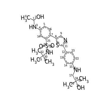 CC(O)Nc1ccc(-c2cnc(-c3ccc(NCC(C)(C)O)cc3)s2)c(S(=O)(=O)NC(C)(C)C)c1